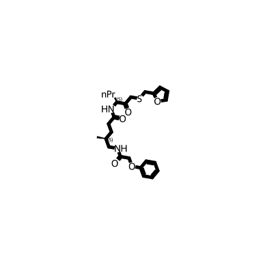 CCC[C@H](NC(=O)CC[C@H](C)CNC(=O)COc1ccccc1)C(=O)CSCc1ccco1